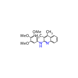 COc1cc(Nc2nc3ccccc3c(C)c2C)cc(OC)c1OC